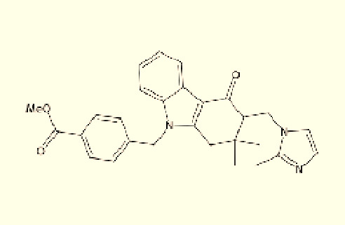 COC(=O)c1ccc(Cn2c3c(c4ccccc42)C(=O)C(Cn2ccnc2C)C(C)(C)C3)cc1